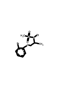 CCN(C(C)COc1ccccc1Br)S(C)(=O)=O